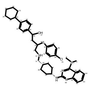 CN(C)c1nc(N[C@H]2CC[C@@H](CNCC(CC(O)c3ccc(C4CCCCC4)cc3)Sc3ccc(Cl)cc3)CC2)nc2ccccc12